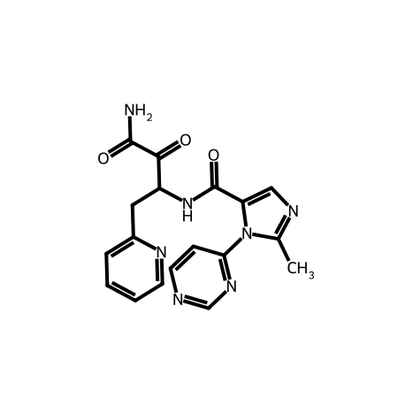 Cc1ncc(C(=O)NC(Cc2ccccn2)C(=O)C(N)=O)n1-c1ccncn1